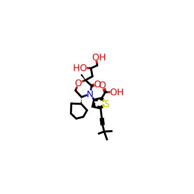 CC(C)(C)C#Cc1cc(N2C(=O)[C@@](C)(CC(O)CO)OC[C@H]2C2CCCCC2)c(C(=O)O)s1